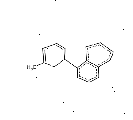 CC1=CC=CC(c2cccc3ccccc23)C1